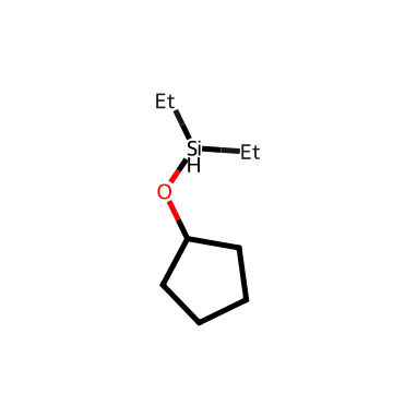 CC[SiH](CC)OC1CCCC1